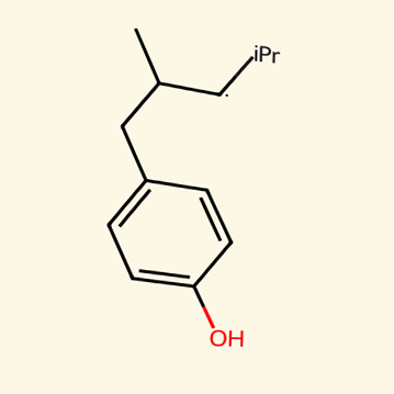 CC(C)[CH]C(C)Cc1ccc(O)cc1